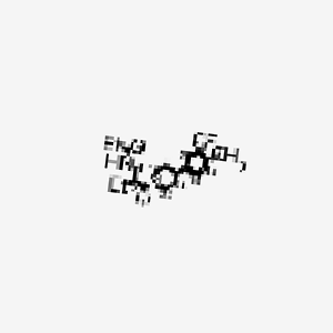 CCC(=O)NCC(CC)C(=O)N1CCC(c2ccc(C)c(C(F)(F)F)c2)CC1